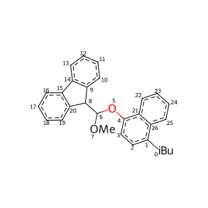 CCC(C)c1ccc(OC(OC)C2c3ccccc3-c3ccccc32)c2ccccc12